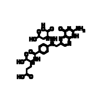 Nc1nc(=O)c2nc(CN(N[C@@H](CC(=O)O)C(=O)O)c3ccc(C(=O)N[C@@H](CCC(=O)O)C(=O)O)cc3)cnc2[nH]1